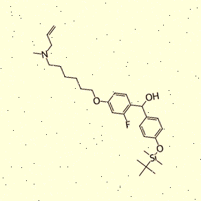 C=CCN(C)CCCCCCOc1ccc(C(O)c2ccc(O[Si](C)(C)C(C)(C)C)cc2)c(F)c1